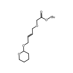 CC(C)(C)OC(=O)COCC=CCOC1CCCCO1